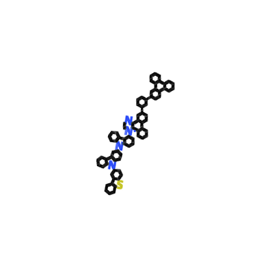 c1cc(-c2ccc3c4ccccc4c4ccccc4c3c2)cc(-c2ccc3c4ccccc4c4c(ncc[n+]4-c4cccc5c4c4ccccc4n5-c4ccc5c(c4)c4ccccc4n5-c4ccc5sc6ccccc6c5c4)c3c2)c1